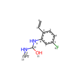 C=Cc1ccc(F)cc1NC(O)NCCC